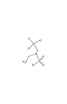 CCN(SC(F)(Cl)Cl)S(=O)(=O)Cl